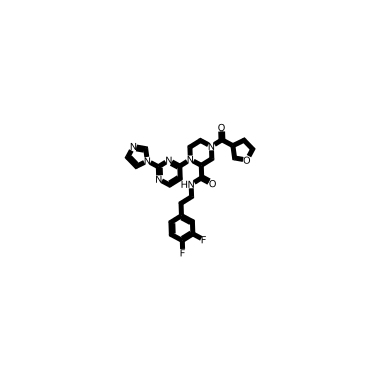 O=C(NCCc1ccc(F)c(F)c1)C1CN(C(=O)C2CCOC2)CCN1c1ccnc(-n2ccnc2)n1